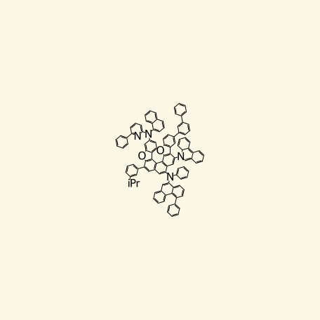 CC(C)c1cccc(-c2cc3cc(N(c4ccccc4)c4cc5ccccc5c5c(-c6ccccc6)cccc45)c4cc(N5C=c6ccccc6=C6C=CC=CC65)c5c6cc(-c7cccc(-c8ccccc8)c7)ccc6oc5c4c3c3c2oc2cc(N(c4cccc(-c5ccccc5)n4)c4cccc5ccccc45)ccc23)c1